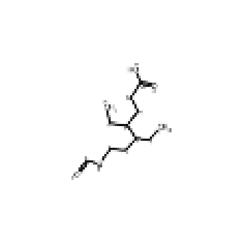 CCC(CCOC=O)C(CC)CCC(=O)O